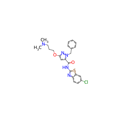 CN(C)CCCOc1cc(C(=O)Nc2nc3ccc(Cl)cc3s2)n(Cc2ccccc2)n1